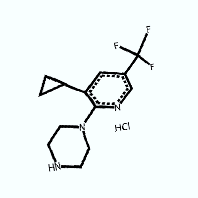 Cl.FC(F)(F)c1cnc(N2CCNCC2)c(C2CC2)c1